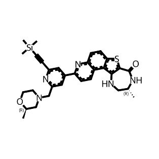 C[C@@H]1CNc2c(sc3ccc4nc(-c5cc(C#C[Si](C)(C)C)nc(CN6CCO[C@H](C)C6)c5)ccc4c23)C(=O)N1